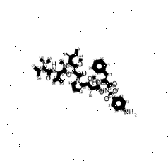 CC[C@H](C)[C@@H]([C@H](CC(=O)N1CCC[C@H]1[C@H](OC)[C@@H](C)C(=O)N[C@@H](Cc1ccccc1)C(=O)NS(=O)(=O)c1ccc(N)cc1)OC)N(C)C(=O)[C@@H](NC(=O)[C@H](C(C)C)N(C)C)C(C)C